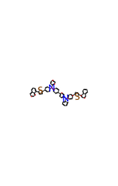 c1ccc(N(c2ccc(-c3ccc(N(c4ccccc4)c4ccc(-c5ccc(-c6cccc7ccccc67)s5)cc4)cc3)cc2)c2ccc(-c3ccc(-c4cccc5ccccc45)s3)cc2)cc1